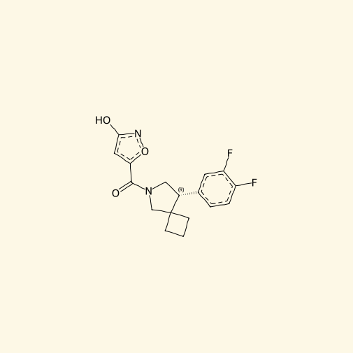 O=C(c1cc(O)no1)N1C[C@H](c2ccc(F)c(F)c2)C2(CCC2)C1